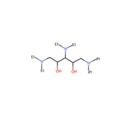 CCN(CC)CC(O)C(C(O)CN(C(C)C)C(C)C)N(CC)CC